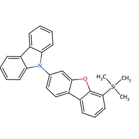 C[Si](C)(C)c1cccc2c1oc1cc(-n3c4ccccc4c4ccccc43)ccc12